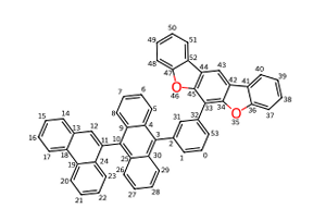 c1cc(-c2c3ccccc3c(-c3cc4ccccc4c4ccccc34)c3ccccc23)cc(-c2c3oc4ccccc4c3cc3c2oc2ccccc23)c1